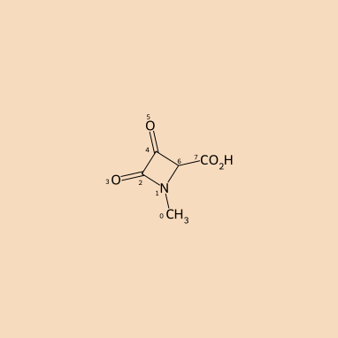 CN1C(=O)C(=O)C1C(=O)O